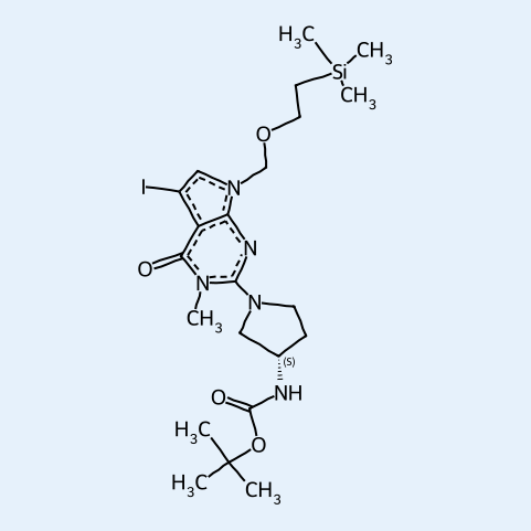 Cn1c(N2CC[C@H](NC(=O)OC(C)(C)C)C2)nc2c(c(I)cn2COCC[Si](C)(C)C)c1=O